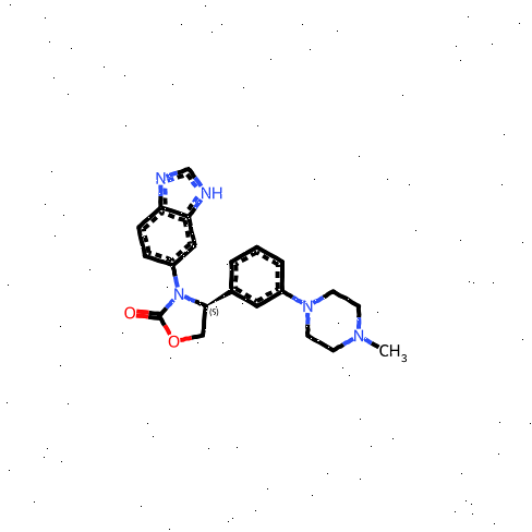 CN1CCN(c2cccc([C@H]3COC(=O)N3c3ccc4nc[nH]c4c3)c2)CC1